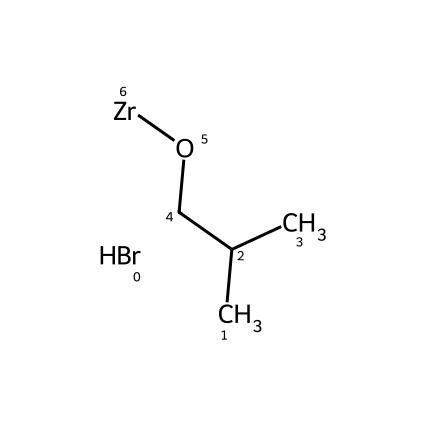 Br.CC(C)C[O][Zr]